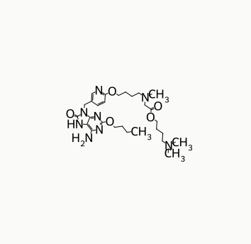 CCCCOc1nc(N)c2[nH]c(=O)n(Cc3ccc(OCCCCN(C)CC(=O)OCCCCN(C)C)nc3)c2n1